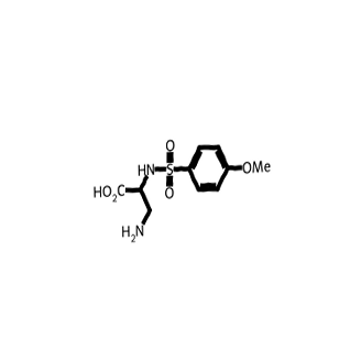 COc1ccc(S(=O)(=O)NC(CN)C(=O)O)cc1